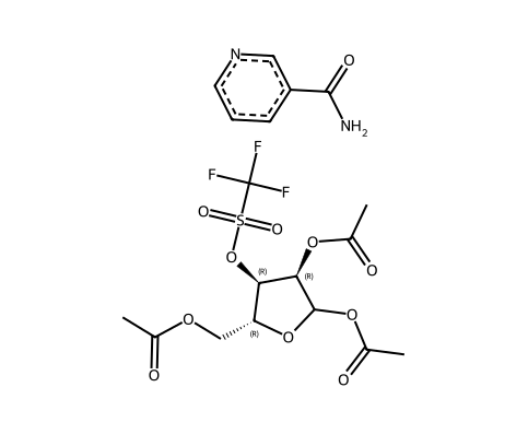 CC(=O)OC[C@H]1OC(OC(C)=O)[C@H](OC(C)=O)[C@@H]1OS(=O)(=O)C(F)(F)F.NC(=O)c1cccnc1